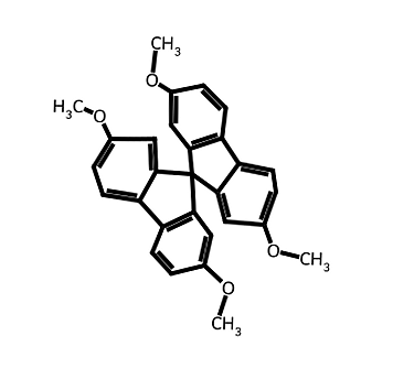 COc1ccc2c(c1)C1(c3cc(OC)ccc3-2)c2cc(OC)ccc2-c2ccc(OC)cc21